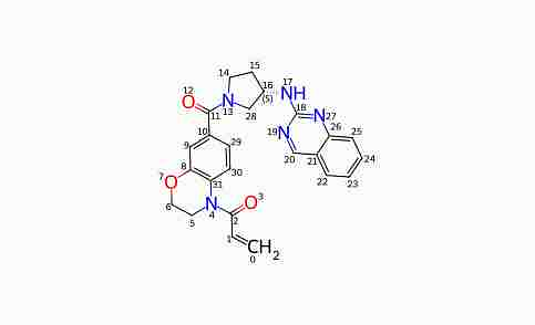 C=CC(=O)N1CCOc2cc(C(=O)N3CC[C@H](Nc4ncc5ccccc5n4)C3)ccc21